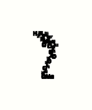 COCCOCCOCC(=O)OCC1CCC(n2ccc(N)nc2=O)O1